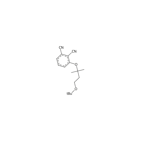 CC(C)(C)OCCC(C)(C)Oc1cccc(C#N)c1C#N